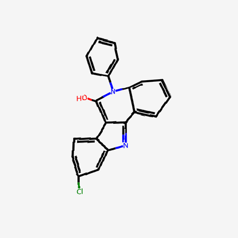 Oc1c2c3ccc(Cl)cc3nc-2c2ccccc2n1-c1ccccc1